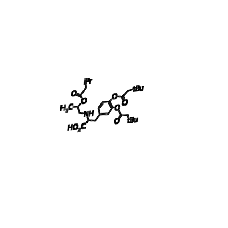 CC(C)CC(=O)OC(C)CN[C@@H](Cc1ccc(OC(=O)CC(C)(C)C)c(OC(=O)CC(C)(C)C)c1)C(=O)O